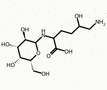 NCC(O)CCC(NC1O[C@H](CO)[C@H](O)[C@H](O)[C@H]1O)C(=O)O